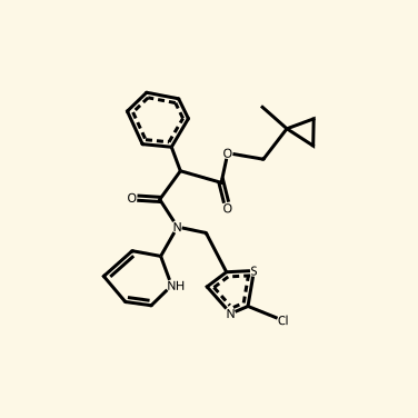 CC1(COC(=O)C(C(=O)N(Cc2cnc(Cl)s2)C2C=CC=CN2)c2ccccc2)CC1